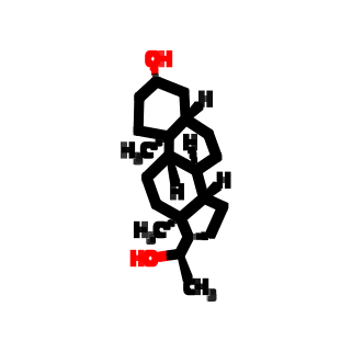 C[C@@H](O)[C@H]1CC[C@H]2[C@@H]3CC[C@H]4C[C@@H](O)CC[C@]4(C)[C@H]3CC[C@]12C